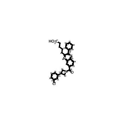 O=C(O)CCCCc1nc2cc(C(=O)N3CC(c4cccc(Cl)c4)C3)ccc2nc1-c1ccccc1